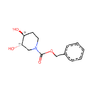 O=C(OCc1ccccc1)N1CC[C@H](O)[C@@H](O)C1